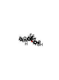 COc1cc(C(=O)O)ccc1Cc1cn(C(F)F)c2ccc(NC(=O)OC3CCCC3)cc12